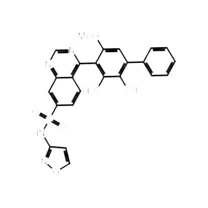 COc1cc(-c2ccccc2)c(C)c(C)c1-c1ncnc2cc(S(=O)(=O)Nc3ccon3)ccc12